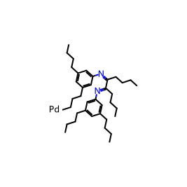 CCCCC(=Nc1cc(CCCC)cc(CCCC)c1)C(CCCC)=Nc1cc(CCCC)cc(CCCC)c1.[Pd]